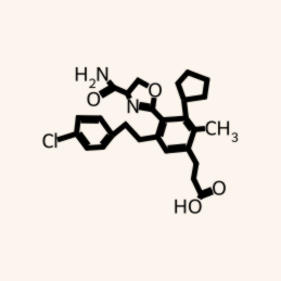 Cc1c(CCC(=O)O)cc(CCc2ccc(Cl)cc2)c(C2=NC(C(N)=O)CO2)c1C1CCCC1